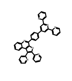 c1ccc(-c2cc(-c3ccc(-c4nc5ccccc5c5c(-c6ccccn6)c(-c6ccccn6)oc45)cc3)cc(-c3ccccn3)n2)nc1